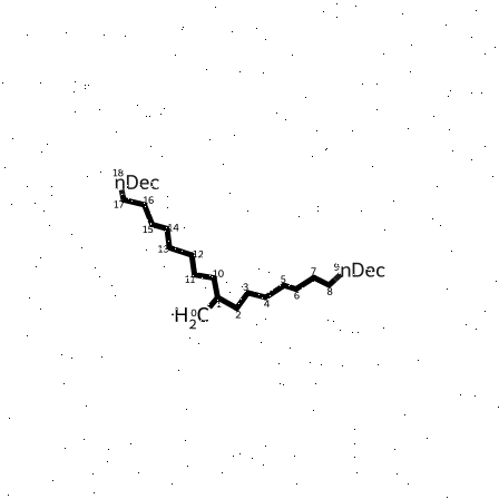 [CH2]C(CCCCCCCCCCCCCCCCC)CCCCCCCCCCCCCCCCCC